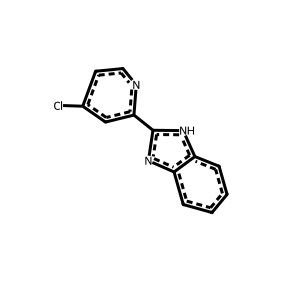 Clc1ccnc(-c2nc3ccccc3[nH]2)c1